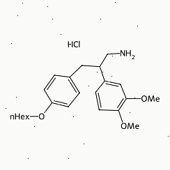 CCCCCCOc1ccc(CC(CN)c2ccc(OC)c(OC)c2)cc1.Cl